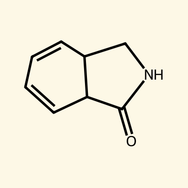 O=C1NCC2C=CC=CC12